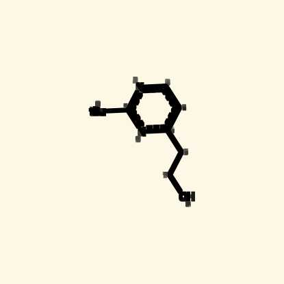 CC(C)(C)c1nccc(CCO)n1